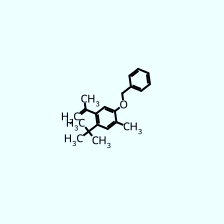 C=C(C)c1cc(OCc2ccccc2)c(C)cc1C(C)(C)C